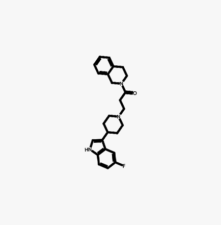 O=C(CCN1CCC(c2c[nH]c3ccc(F)cc23)CC1)N1CCc2ccccc2C1